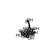 O=C(O)CCSCCO[C@H]1O[C@H](CO)[C@@H](O)[C@H](O)[C@]1(O)[C@]1(O)[C@@H](CO)OC[C@@](O)([C@]2(O)[C@@H](C(O)[C@@]3(O)CO[C@H](CO)[C@@H](O)[C@@H]3O)OC[C@H](O)[C@H]2O)[C@H]1O